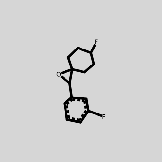 Fc1cccc(C2OC23CCC(F)CC3)c1